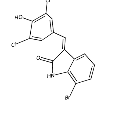 O=C1Nc2c(Br)cccc2/C1=C/c1cc(Cl)c(O)c(Cl)c1